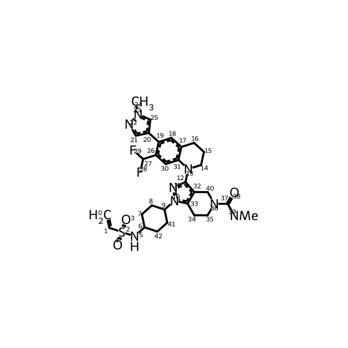 C=CS(=O)(=O)NC1CCC(n2nc(N3CCCc4cc(-c5cnn(C)c5)c(C(F)F)cc43)c3c2CCN(C(=O)NC)C3)CC1